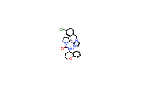 O=C(NC1CCCOc2ccccc21)N1CCC[C@@H]1c1nccn1CC1=CCC(Cl)C=C1